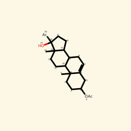 CC(=O)OC1CCC2(C)C(=CCC3C2CCC2(C)C3CCC2(O)C(C)=O)C1